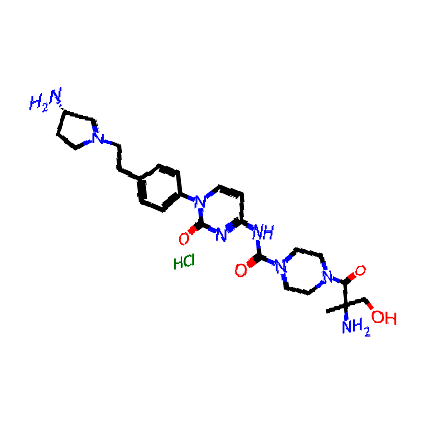 CC(N)(CO)C(=O)N1CCN(C(=O)Nc2ccn(-c3ccc(CCN4CC[C@H](N)C4)cc3)c(=O)n2)CC1.Cl